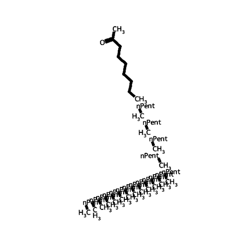 CCCCCC.CCCCCC.CCCCCC.CCCCCC.CCCCCC.CCCCCC.CCCCCC.CCCCCC.CCCCCC.CCCCCC.CCCCCC.CCCCCC.CCCCCC.CCCCCC.CCCCCC.CCCCCC.CCCCCC.CCCCCCCC(C)=O